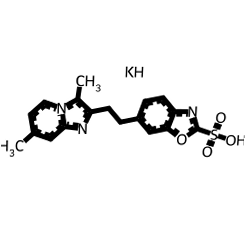 Cc1ccn2c(C)c(CCc3ccc4nc(S(=O)(=O)O)oc4c3)nc2c1.[KH]